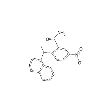 CC(c1ccc([N+](=O)[O-])cc1C(N)=O)c1cccc2ccccc12